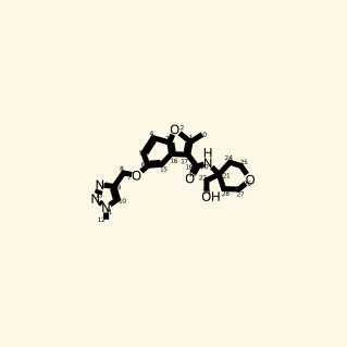 Cc1oc2ccc(OCc3cn(C)nn3)cc2c1C(=O)NC1(CO)CCOCC1